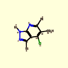 CCc1nc2c(c(CC)nn2CC)c(Cl)c1C(=O)O